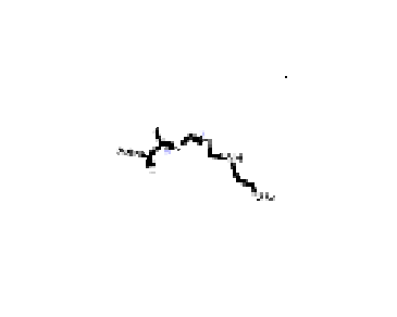 CNC(=O)/C(C)=N/C=N\CNCCSC